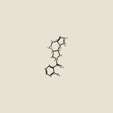 O=C(c1ccccc1F)N1CC2OCc3cnnn3C2C1